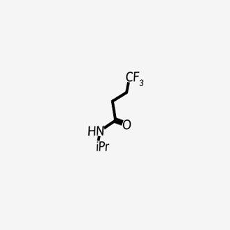 CC(C)NC(=O)CCC(F)(F)F